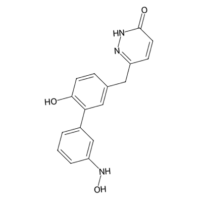 O=c1ccc(Cc2ccc(O)c(-c3cccc(NO)c3)c2)n[nH]1